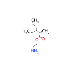 C=C(C(=O)OCCN)C(CC)CCC